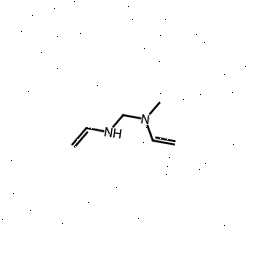 C=CNCN(C)C=C